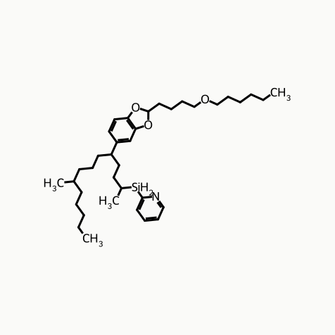 CCCCCCOCCCCC1Oc2ccc(C(CCCC(C)CCCCC)CCC(C)[SiH2]c3ccccn3)cc2O1